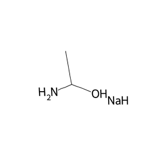 CC(N)O.[NaH]